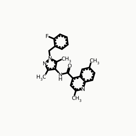 Cc1ccc2nc(C)cc(C(=O)Nc3c(C)nn(Cc4ccccc4F)c3C)c2c1